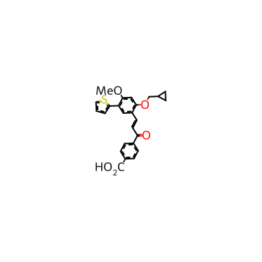 COc1cc(OCC2CC2)c(/C=C/C(=O)c2ccc(C(=O)O)cc2)cc1-c1cccs1